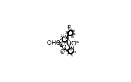 Cc1ncccc1C(=O)OCN(C=O)C1CCN(c2cccc(F)c2)CC1.Cl